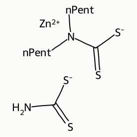 CCCCCN(CCCCC)C(=S)[S-].NC(=S)[S-].[Zn+2]